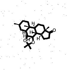 C[C@H]1CC[C@@]2(C)[C@H](C1)[C@H]1OC(C)(C)O[C@@H]1[C@@H]1[C@@H]2CC[C@]2(C)C(=O)CC[C@@H]12